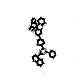 c1ccc(-c2nc(-c3ccc(-c4ccc5c(c4)Sc4ccccc4C54c5ccccc5-c5ccccc54)cc3)nc(-c3cccc4ccccc34)n2)cc1